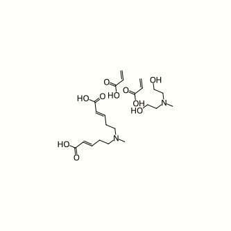 C=CC(=O)O.C=CC(=O)O.CN(CCC=CC(=O)O)CCC=CC(=O)O.CN(CCO)CCO